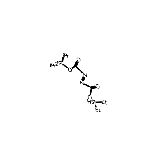 CC[SiH](CC)OC(=O)N=NC(=O)O[SiH](C(C)C)C(C)C